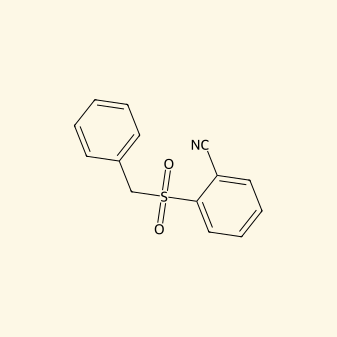 N#Cc1ccccc1S(=O)(=O)Cc1ccccc1